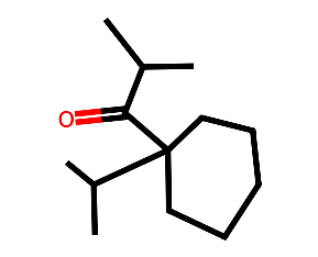 CC(C)C(=O)C1(C(C)C)CCCCC1